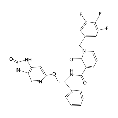 O=C(N[C@@H](COc1cc2[nH]c(=O)[nH]c2cn1)c1ccccc1)c1cccn(Cc2cc(F)c(F)c(F)c2)c1=O